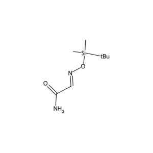 CC(C)(C)[Si](C)(C)ON=CC(N)=O